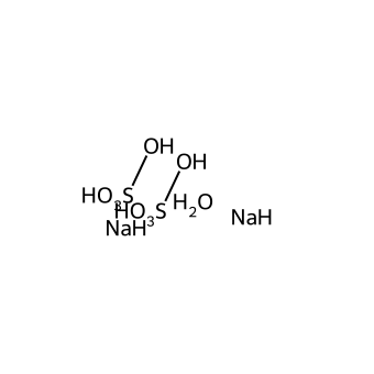 O.O=S(=O)(O)O.O=S(=O)(O)O.[NaH].[NaH]